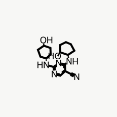 N#Cc1cnc(N[C@H]2CC[C@H](O)CC2)nc1N[C@@H]1CCCC[C@@H]1O